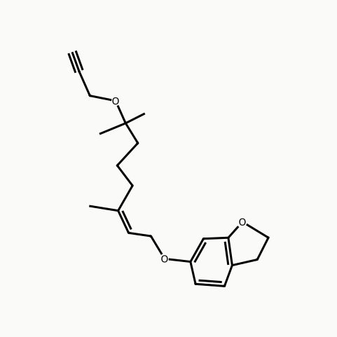 C#CCOC(C)(C)CCCC(C)=CCOc1ccc2c(c1)OCC2